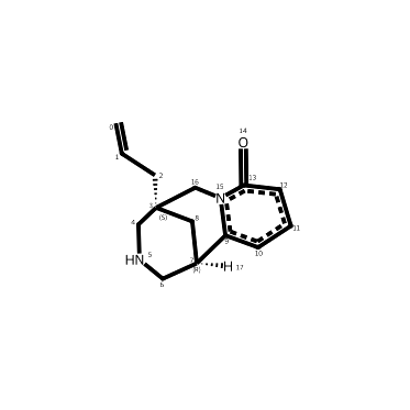 C=CC[C@@]12CNC[C@@H](C1)c1cccc(=O)n1C2